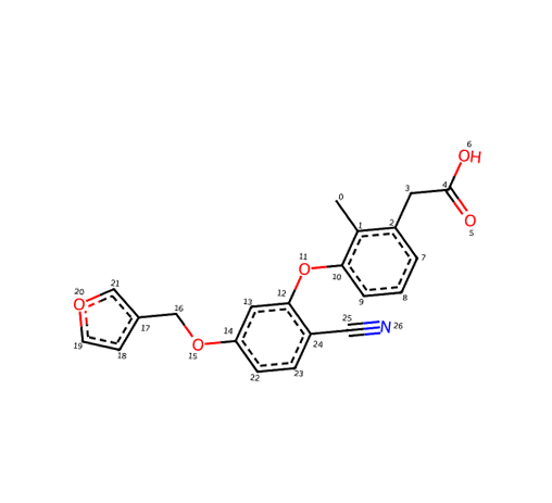 Cc1c(CC(=O)O)cccc1Oc1cc(OCc2ccoc2)ccc1C#N